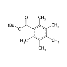 Cc1c(C)c(C)c(C(=O)OC(C)(C)C)c(C)c1C